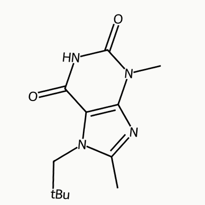 Cc1nc2c(c(=O)[nH]c(=O)n2C)n1CC(C)(C)C